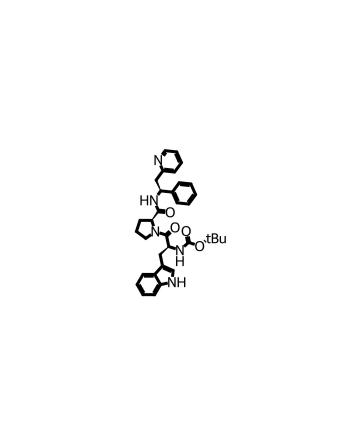 CC(C)(C)OC(=O)N[C@@H](Cc1c[nH]c2ccccc12)C(=O)N1CCC[C@H]1C(=O)N[C@@H](Cc1ccccn1)c1ccccc1